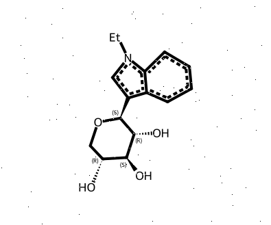 CCn1cc([C@@H]2OC[C@@H](O)[C@H](O)[C@H]2O)c2ccccc21